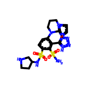 NS(=O)(=O)c1c(S(=O)(=O)NC2CCNC2)ccc(N2CCCn3ccnc32)c1-c1nnn[nH]1